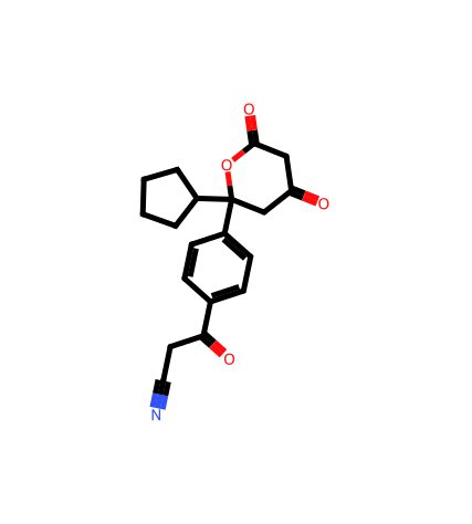 N#CCC(=O)c1ccc(C2(C3CCCC3)CC(=O)CC(=O)O2)cc1